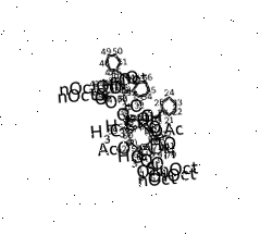 CCCCCCCCO[Si](OCCCCCCCC)(OCCCCCCCC)O[C@H]1C[C@H]2OC[C@@]2(OC(C)=O)[C@H]2[C@H](OC(=O)c3ccccc3)[C@]3(O)C[C@H](OC(=O)[C@H](O[Si](OCCCCCCCC)(OCCCCCCCC)OCCCCCCCC)[C@@H](NC(=O)c4ccccc4)c4ccccc4)C(C)=C([C@@H](OC(C)=O)C(=O)[C@]12C)C3(C)C